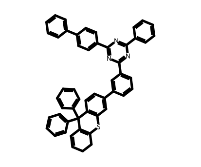 C1=CC2=C(CC1)Sc1cc(-c3cccc(-c4nc(-c5ccccc5)nc(-c5ccc(-c6ccccc6)cc5)n4)c3)ccc1C2(c1ccccc1)c1ccccc1